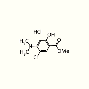 COC(=O)c1cc(Cl)c(N(C)C)cc1O.Cl